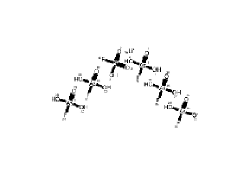 O=S(=O)(O)F.O=[As](O)(O)F.O=[As](O)(O)F.O=[As](O)(O)F.O=[As](O)(O)F.O=[As]([O-])(O)F.[Li+]